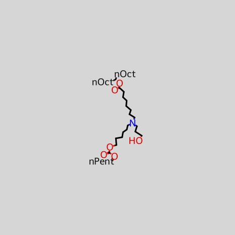 CCCCCCCCC(CCCCCCCC)OC(=O)CCCCCCCN(CCCO)CCCCCCOC(=O)OCCCCC